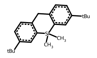 CC(C)(C)c1ccc2c(c1)[Si](C)(C)c1cc(C(C)(C)C)ccc1C2